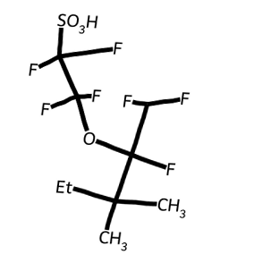 CCC(C)(C)C(F)(OC(F)(F)C(F)(F)S(=O)(=O)O)C(F)F